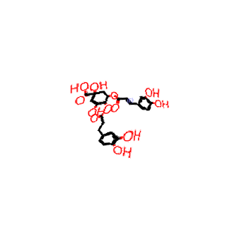 O=C(/C=C/c1ccc(O)c(O)c1)OC1CC(O)(C(=O)O)CC(O)C1OC(=O)CCc1ccc(O)c(O)c1